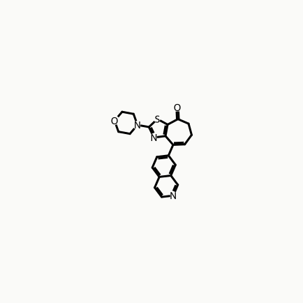 O=C1CCC=C(c2ccc3ccncc3c2)c2nc(N3CCOCC3)sc21